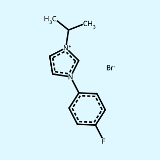 CC(C)[n+]1ccn(-c2ccc(F)cc2)c1.[Br-]